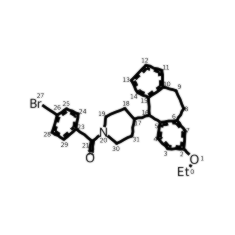 CCOc1ccc2c(c1)CCc1ccccc1C2C1CCN(C(=O)c2ccc(Br)cc2)CC1